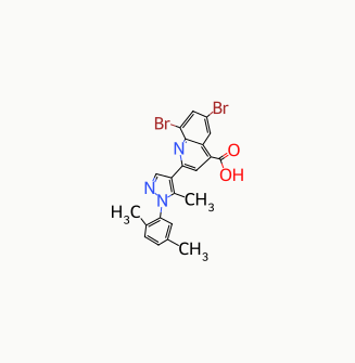 Cc1ccc(C)c(-n2ncc(-c3cc(C(=O)O)c4cc(Br)cc(Br)c4n3)c2C)c1